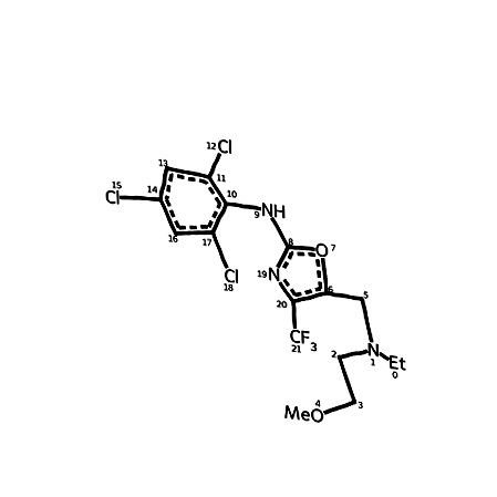 CCN(CCOC)Cc1oc(Nc2c(Cl)cc(Cl)cc2Cl)nc1C(F)(F)F